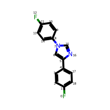 Fc1ccc(-c2cn(-c3ccc(F)cc3)cn2)cc1